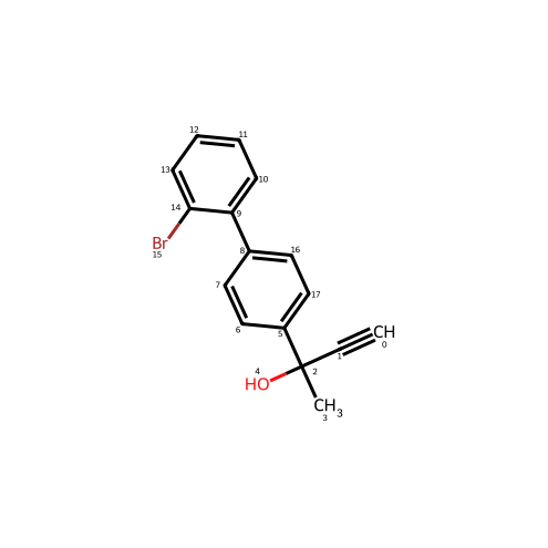 C#CC(C)(O)c1ccc(-c2ccccc2Br)cc1